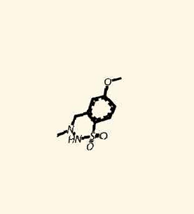 COc1ccc2c(c1)CN(C)NS2(=O)=O